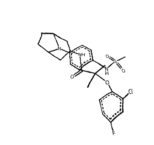 CC(C)(Oc1ccc(F)cc1Cl)C(=O)NC1CC2CCC(C1)N2c1ccc(NS(C)(=O)=O)cc1